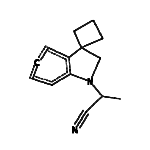 CC(C#N)N1CC2(CCC2)c2ccccc21